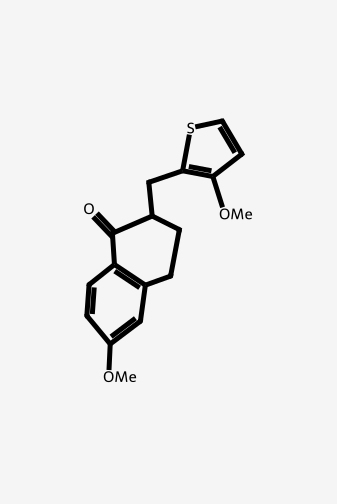 COc1ccc2c(c1)CCC(Cc1sccc1OC)C2=O